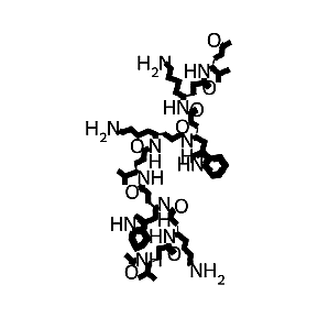 CC(=O)CC[C@@H](NC(=O)CC[C@H](CCCCN)NC(=O)CC[C@H](Cc1c[nH]c2ccccc12)NC(=O)CC[C@H](CCCCN)NC(=O)CC[C@@H](NC(=O)CC[C@H](Cc1c[nH]c2ccccc12)NC(=O)CC[C@H](CCCCN)NC(=O)CC[C@@H](NC(C)=O)C(C)C)C(C)C)C(C)C